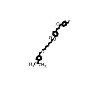 C=C(C)c1ccc(COCCCCCCC(=O)Oc2ccc(C=CC(=O)c3ccc(F)cc3)cc2)cc1